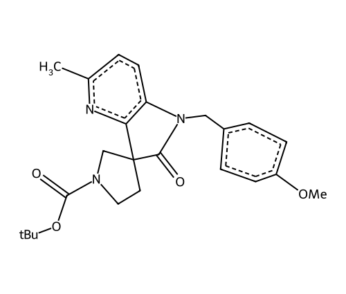 COc1ccc(CN2C(=O)C3(CCN(C(=O)OC(C)(C)C)C3)c3nc(C)ccc32)cc1